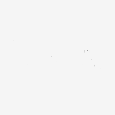 CCC1(OC(=O)C2C3CC4C(OC(=O)C42)C3OC(=O)C(C)(C)[C@]2(N)CN2)CC2CCC1C2